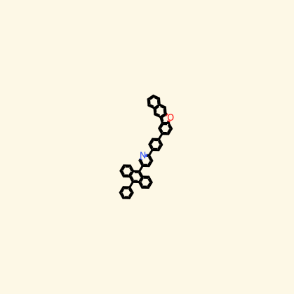 c1ccc(-c2c3ccccc3c(-c3ccc(-c4ccc(-c5ccc6oc7cc8ccccc8cc7c6c5)cc4)nc3)c3ccccc23)cc1